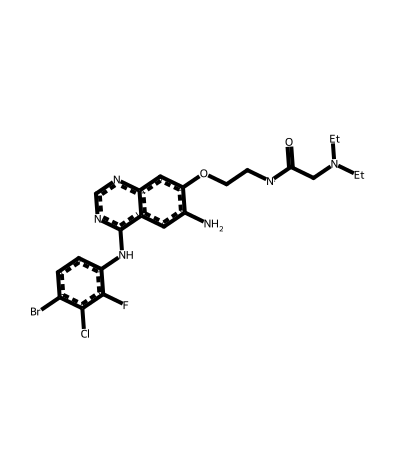 CCN(CC)CC(=O)[N]CCOc1cc2ncnc(Nc3ccc(Br)c(Cl)c3F)c2cc1N